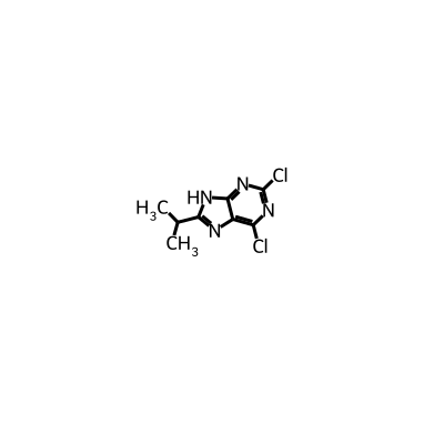 CC(C)c1nc2c(Cl)nc(Cl)nc2[nH]1